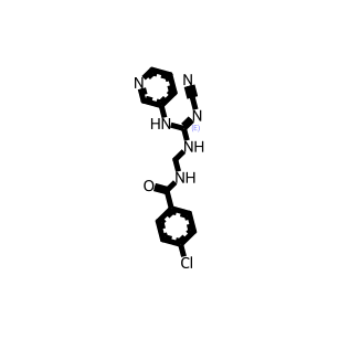 N#C/N=C(/NCNC(=O)c1ccc(Cl)cc1)Nc1cccnc1